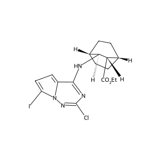 CCOC(=O)[C@H]1[C@H]2CC[C@H](CC2)[C@@H]1Nc1nc(Cl)nn2c(I)ccc12